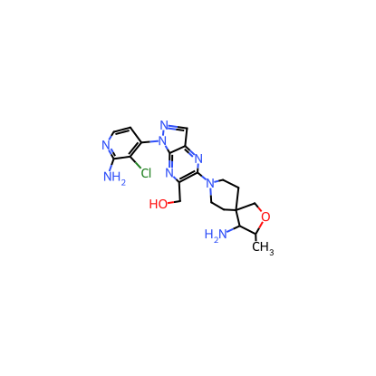 CC1OCC2(CCN(c3nc4cnn(-c5ccnc(N)c5Cl)c4nc3CO)CC2)C1N